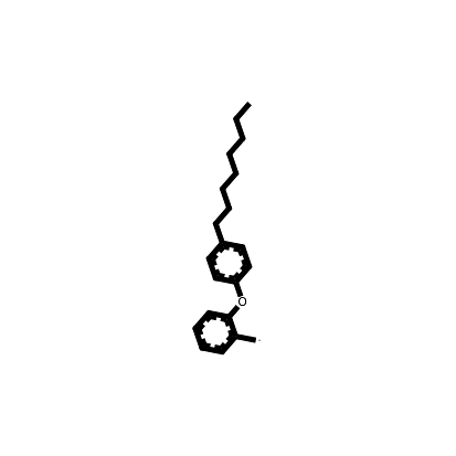 [CH2]c1ccccc1Oc1ccc(CCCCCCCC)cc1